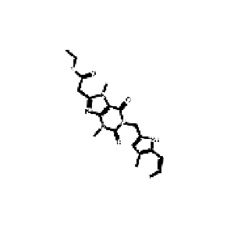 C/C=C\c1[nH]c(Cn2c(=O)c3c(nc(CC(=O)OCC)n3C)n(C)c2=O)cc1C